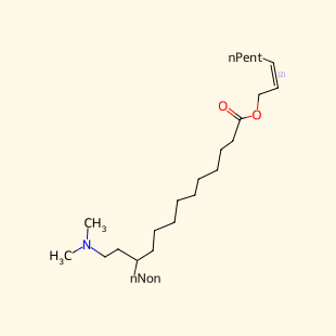 CCCCC/C=C\COC(=O)CCCCCCCCCC(CCCCCCCCC)CCN(C)C